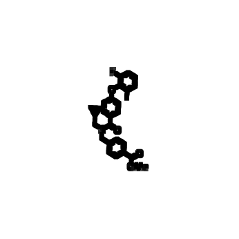 COC(=O)c1ccc(CN(CC2CC2)C(=O)c2ccc(Oc3c(C)cccc3F)cc2)cc1